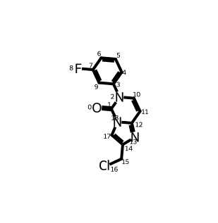 O=c1n(-c2cccc(F)c2)ccc2nc(CCl)cn12